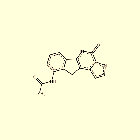 CC(=O)Nc1cccc2c1Cc1c-2[nH]c(=O)c2nccn12